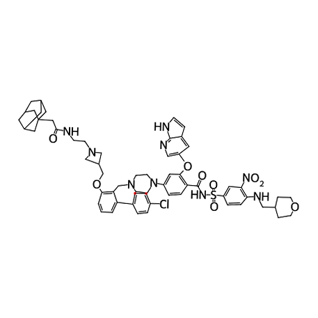 O=C(CC12CC3CC(CC(C3)C1)C2)NCCN1CC(COc2cccc(-c3ccc(Cl)cc3)c2CN2CCN(c3ccc(C(=O)NS(=O)(=O)c4ccc(NCC5CCOCC5)c([N+](=O)[O-])c4)c(Oc4cnc5[nH]ccc5c4)c3)CC2)C1